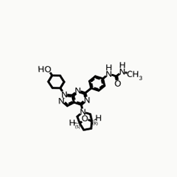 CNC(=O)Nc1ccc(-c2nc(N3C[C@H]4CC[C@@H](C3)O4)c3cnn(C4CCC(O)CC4)c3n2)cc1